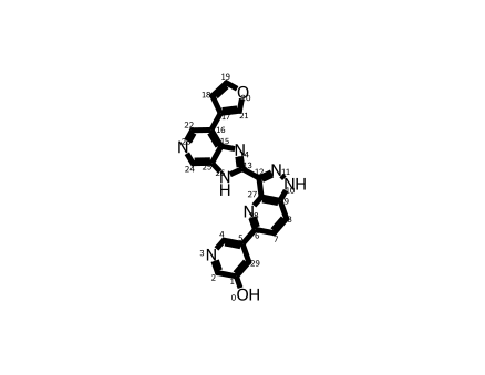 Oc1cncc(-c2ccc3[nH]nc(-c4nc5c(-c6ccoc6)cncc5[nH]4)c3n2)c1